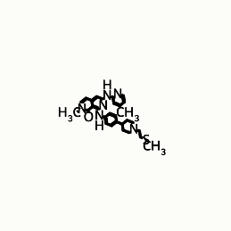 CSCCN1CCC(c2ccc(Nc3nc(Nc4cc(C)ccn4)cc4ccn(C)c(=O)c34)cc2)CC1